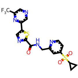 O=C(NCc1cc(S(=O)(=O)C2CC2)ccn1)c1ncc(-c2cncc(C(F)(F)F)n2)s1